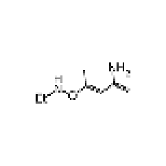 C=C(N)/C=C(\C)ONCC